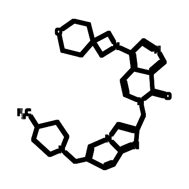 O=c1c2cncc(N3CC4(CCOCC4)C3)c2ccn1Cc1cn2cc(CN3CCC(C(F)(F)F)CC3)ccc2n1